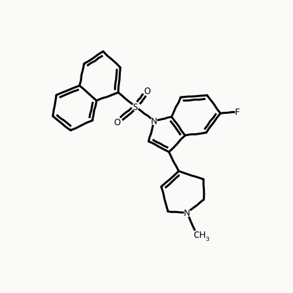 CN1CC=C(c2cn(S(=O)(=O)c3cccc4ccccc34)c3ccc(F)cc23)CC1